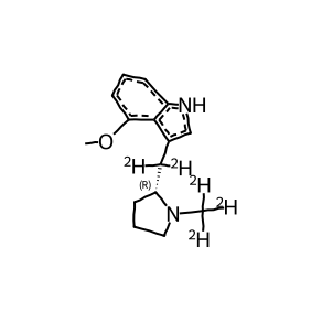 [2H]C([2H])(c1c[nH]c2cccc(OC)c12)[C@H]1CCCN1C([2H])([2H])[2H]